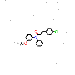 COc1cccc(N(C(=O)C=Cc2ccc(Cl)cc2)c2ccccc2)c1